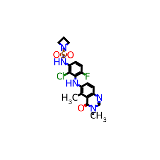 Cc1c(Nc2c(F)ccc(NS(=O)(=O)N3CCC3)c2Cl)ccc2ncn(C)c(=O)c12